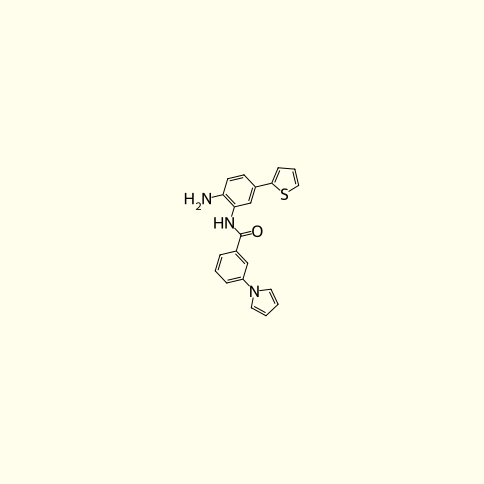 Nc1ccc(-c2cccs2)cc1NC(=O)c1cccc(-n2cccc2)c1